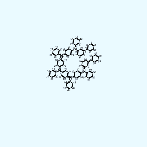 c1ccc(-c2cccc(N(c3ccccc3)c3ccc(N(c4ccccc4)c4ccc(N(c5ccccc5)c5ccc(N(c6ccccc6)c6ccc(N(c7ccccc7)c7cccc(-c8ccccc8)c7)cc6)cc5)cc4)cc3)c2)cc1